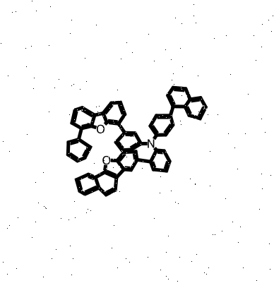 c1ccc(-c2cccc3c2oc2c(-c4cccc(N(c5ccc(-c6cccc7ccccc67)cc5)c5ccccc5-c5ccc6oc7c8ccccc8ccc7c6c5)c4)cccc23)cc1